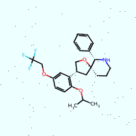 CC(C)Oc1ccc(OCC(F)(F)F)cc1[C@@H]1CO[C@]2(CCCN[C@H]2c2ccccc2)C1